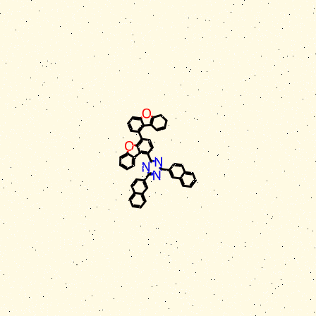 C1=Cc2c(oc3cccc(-c4ccc(-c5nc(-c6ccc7ccccc7c6)nc(-c6ccc7ccccc7c6)n5)c5c4oc4ccccc45)c23)CC1